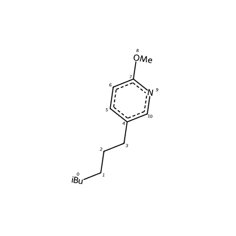 CCC(C)CCCc1ccc(OC)nc1